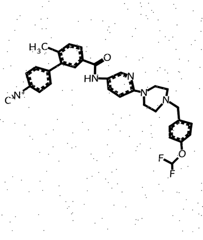 [C-]#[N+]c1ccc(-c2cc(C(=O)Nc3ccc(N4CCN(Cc5ccc(OC(F)F)cc5)CC4)nc3)ccc2C)cc1